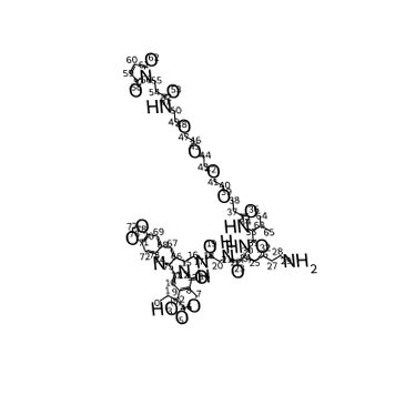 CC[C@@]1(O)C(=O)OCc2c1cc1n(c2=O)C(CNC(=O)CNC(=O)[C@H](CCCCN)NC(=O)C(NC(=O)CCOCCOCCOCCOCCNC(=O)CCN2C(=O)C=CC2=O)C(C)C)c2cc3cc4c(cc3nc2-1)OCO4